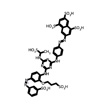 CC(Nc1nc(Nc2ccc(N=Nc3cc(S(=O)(=O)O)c4cc(S(=O)(=O)O)cc(S(=O)(=O)O)c4c3)cc2)nc(Nc2ccc(/N=N\c3cccc(S(=O)(=O)O)c3)cc2OCCCS(=O)(=O)O)n1)S(=O)(=O)O